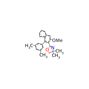 COc1cc2ccccc2c(-c2cc(C)cc(C)c2)c1C1=NC(C)(C)CO1